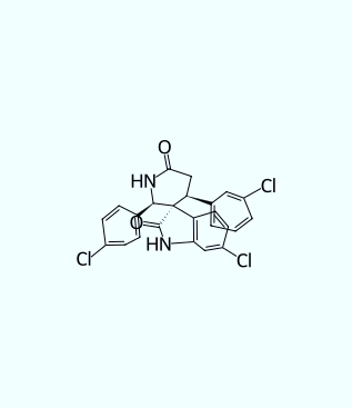 O=C1C[C@@H](c2cccc(Cl)c2)[C@]2(C(=O)Nc3cc(Cl)ccc32)[C@@H](c2ccc(Cl)cc2)N1